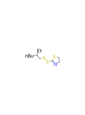 CCCCC(CC)CSSC1=NCCS1